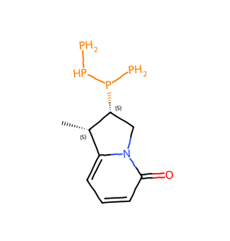 C[C@H]1c2cccc(=O)n2C[C@H]1P(P)PP